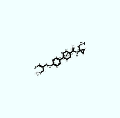 NC/C(=C\F)COc1ccc(C23CCC(C(=O)NC4(CO)CC4)(CC2)CC3)cc1